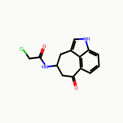 O=C(CCl)NC1CC(=O)c2cccc3[nH]cc(c23)C1